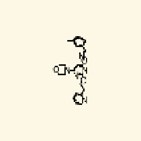 Cc1cccc(C=NOc2cc(N3CCOCC3)nc(OCCc3ccccn3)n2)c1